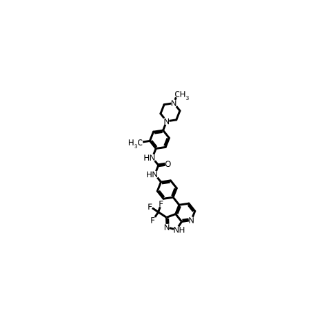 Cc1cc(N2CCN(C)CC2)ccc1NC(=O)Nc1ccc(-c2ccnc3[nH]nc(C(F)(F)F)c23)cc1